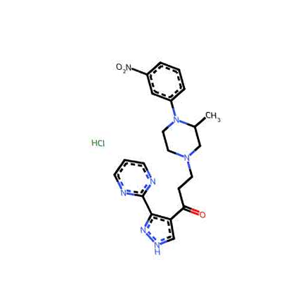 CC1CN(CCC(=O)c2c[nH]nc2-c2ncccn2)CCN1c1cccc([N+](=O)[O-])c1.Cl